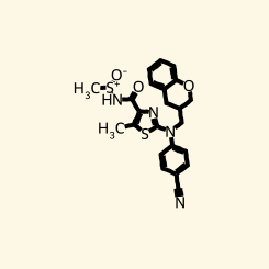 Cc1sc(N(CC2COc3ccccc3C2)c2ccc(C#N)cc2)nc1C(=O)N[S+](C)[O-]